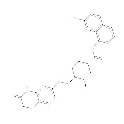 Nc1ccc2cccc(NC(=O)[C@H]3CC[C@H](NCc4ccc5c(n4)NC(=O)CS5)[C@H](O)C3)c2n1